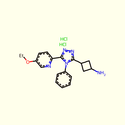 CCOc1ccc(-c2nnc(C3CC(N)C3)n2-c2ccccc2)nc1.Cl.Cl